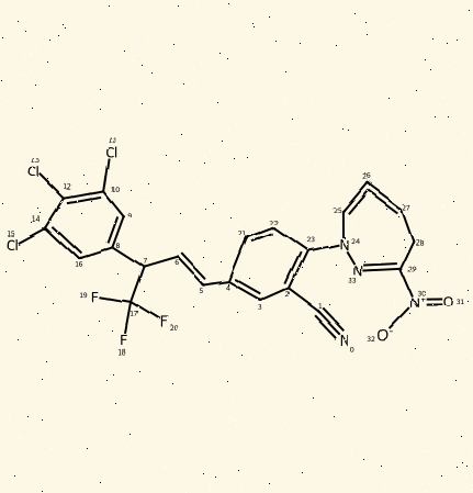 N#Cc1cc(/C=C/C(c2cc(Cl)c(Cl)c(Cl)c2)C(F)(F)F)ccc1N1C=C=CCC([N+](=O)[O-])=N1